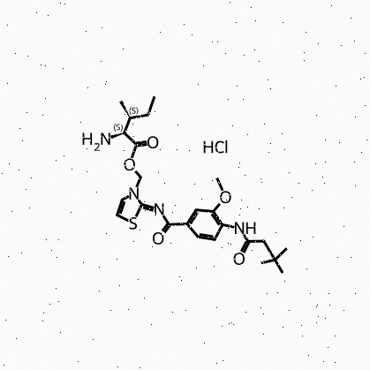 CC[C@H](C)[C@H](N)C(=O)OCn1ccsc1=NC(=O)c1ccc(NC(=O)CC(C)(C)C)c(OC)c1.Cl